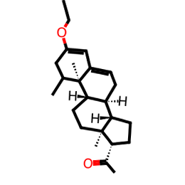 CCOC1=CC2=CC[C@H]3[C@@H]4CC[C@H](C(C)=O)[C@@]4(C)CC[C@@H]3[C@@]2(C)C(C)C1